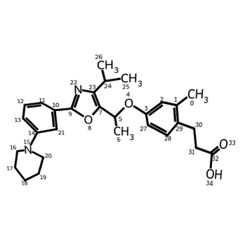 Cc1cc(OC(C)c2oc(-c3cccc(N4CCCCC4)c3)nc2C(C)C)ccc1CCC(=O)O